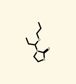 CCCOC(CC)N1CCSC1=S